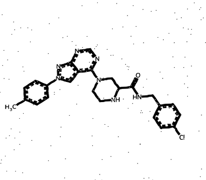 Cc1ccc(-n2cc3c(N4CCNC(C(=O)NCc5ccc(Cl)cc5)C4)ncnc3n2)cc1